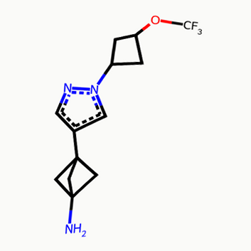 NC12CC(c3cnn(C4CC(OC(F)(F)F)C4)c3)(C1)C2